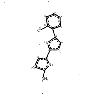 Nc1nc(-c2nc(-c3ccccc3Cl)cs2)cs1